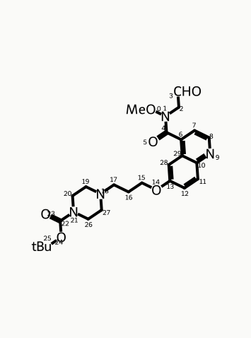 CON(CC=O)C(=O)c1ccnc2ccc(OCCCN3CCN(C(=O)OC(C)(C)C)CC3)cc12